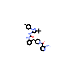 Cc1ccc(-n2nc(C(C)(C)C)cc2NC(=O)Nc2ccccc2CC2CCN(C(=O)c3cccnc3N)CC2)cc1